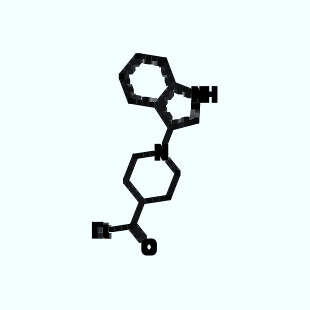 CCC(=O)C1CCN(c2c[nH]c3ccccc23)CC1